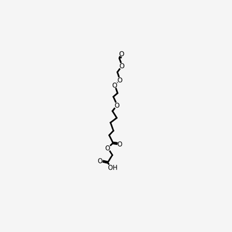 O=COCOOCCOCCCCCC(=O)OCC(=O)O